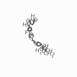 CC(C)(C)OC(=O)NC1CCN(CCCN2CCN(c3ccc(NC4CCC(=O)NC4=O)cc3F)CC2)CC1